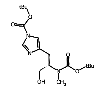 CN(C(=O)OC(C)(C)C)[C@H](CO)Cc1cn(C(=O)OC(C)(C)C)cn1